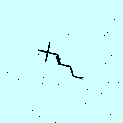 CC(C)(C)/C=C/CCCl